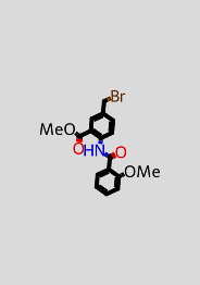 COC(=O)c1cc(CBr)ccc1NC(=O)c1ccccc1OC